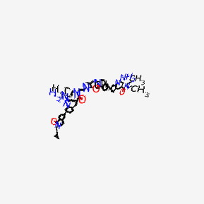 CCCN(CCC)C(=O)C1=Cc2ccc(-c3ccc(C=O)c(/C=C\N(C)CC4CN(CCN(CCC)C(=O)C5=Cc6ccc(-c7ccc8c(=O)n(CCC9CC9)ccc8c7)cc6N=C(N)C5)C4)c3)cc2N=C(N)C1